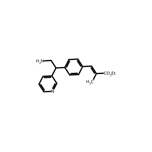 CCOC(=O)C(C)=Cc1ccc(C(CN)c2cccnc2)cc1